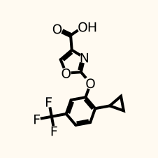 O=C(O)c1coc(Oc2cc(C(F)(F)F)ccc2C2CC2)n1